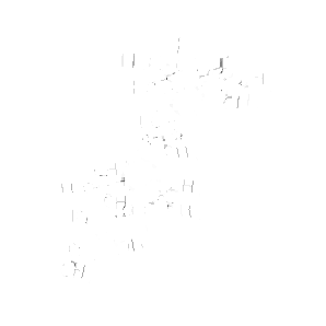 COC[C@H](O)[C@@H](O)COc1c(C(C)(C)C)cc(SC(C)(C)Sc2cc(C(C)(C)C)c(O)c(C(C)(C)C)c2)cc1C(C)(C)C